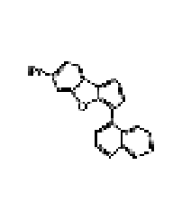 CC(C)c1ccc2c(c1)oc1c(-c3cccc4ccccc34)cccc12